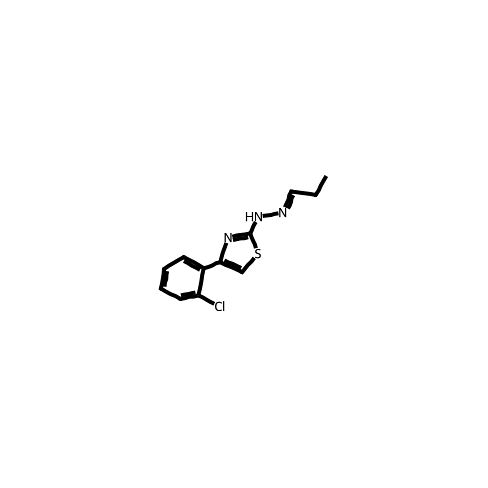 CCC=NNc1nc(-c2ccccc2Cl)cs1